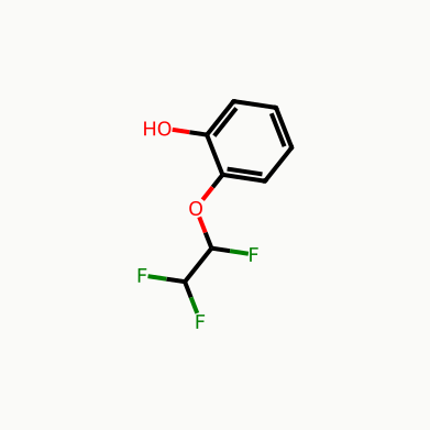 Oc1ccccc1OC(F)C(F)F